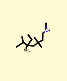 BC(CC)(CC(C)(C)CCNC)C(C)C